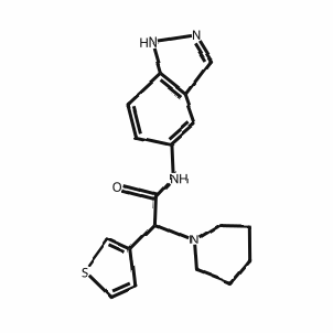 O=C(Nc1ccc2[nH]ncc2c1)C(c1ccsc1)N1CCCCC1